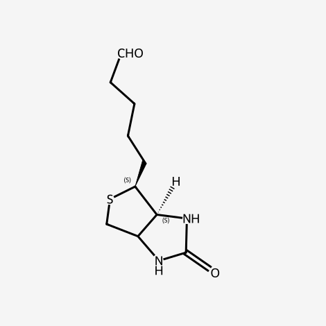 O=CCCCC[C@@H]1SCC2NC(=O)N[C@@H]21